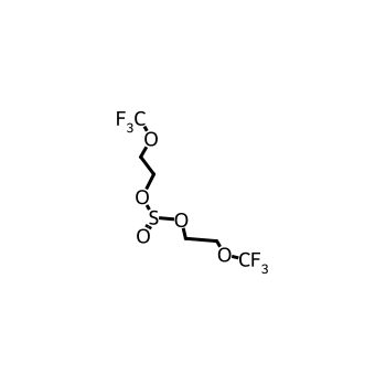 O=S(OCCOC(F)(F)F)OCCOC(F)(F)F